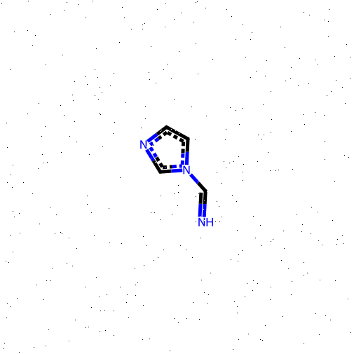 N=Cn1ccnc1